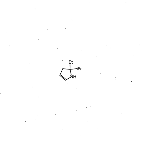 CCC1(C(C)C)CC=CN1